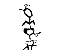 CCC(CC)(c1ccc(O)c(C)c1)c1ccc(B2OC(C)(C)C(C)(C)O2)c(OC)c1